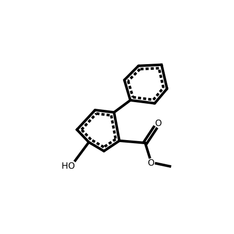 COC(=O)c1cc(O)ccc1-c1ccccc1